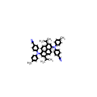 Cc1ccc(N(c2ccc(C#N)cc2)c2cc(C(C)C)c3ccc4c(N(c5ccc(C)cc5)c5ccc(C#N)cc5)cc(C(C)C)c5ccc2c3c54)cc1